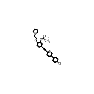 CC(C)Oc1cc(C#Cc2ccc(-c3ccc(Cl)cc3)cn2)ccc1OCCN1CCCC1